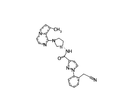 Cc1ccn2ccnc(N3CC[C@H](NC(=O)c4ccn(-c5ccccc5CC#N)n4)C3)c12